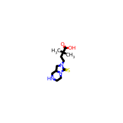 CC(C)(CCN1CC2CNCCN2C1=S)C(=O)O